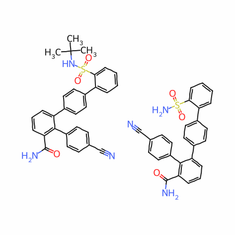 CC(C)(C)NS(=O)(=O)c1ccccc1-c1ccc(-c2cccc(C(N)=O)c2-c2ccc(C#N)cc2)cc1.N#Cc1ccc(-c2c(C(N)=O)cccc2-c2ccc(-c3ccccc3S(N)(=O)=O)cc2)cc1